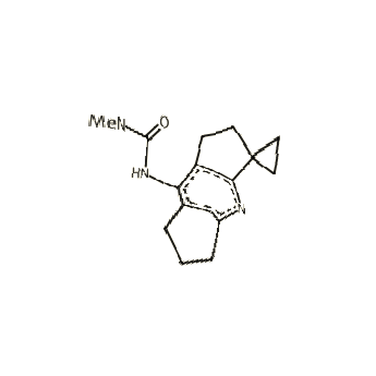 CNC(=O)Nc1c2c(nc3c1CCC31CC1)CCC2